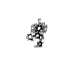 C[C@@H]1COCCN1c1cc(C2(O)C(S)(S)C(S)(S)C(S)(S)C(S)(S)C2(S)S)c2cnn(-c3cc[nH]n3)c2n1